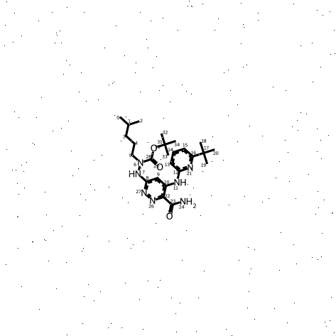 CC(C)CCCN(Nc1cc(Nc2cccc(C(C)(C)C)n2)c(C(N)=O)nn1)C(=O)OC(C)(C)C